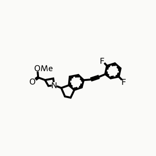 COC(=O)C1CN(C2CCc3cc(C#Cc4cc(F)ccc4F)ccc32)C1